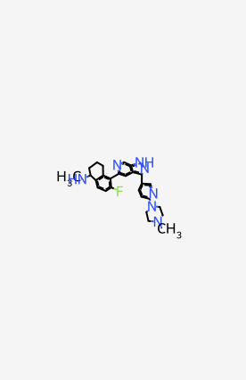 CNC1CCCc2c1ccc(F)c2-c1cc2c(-c3ccc(N4CCN(C)CC4)nc3)n[nH]c2cn1